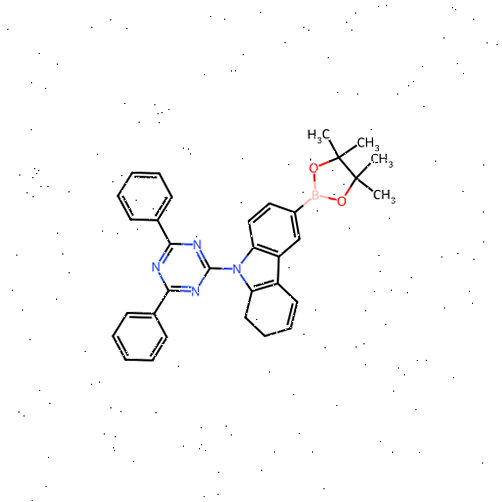 CC1(C)OB(c2ccc3c(c2)c2c(n3-c3nc(-c4ccccc4)nc(-c4ccccc4)n3)CCC=C2)OC1(C)C